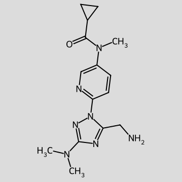 CN(C)c1nc(CN)n(-c2ccc(N(C)C(=O)C3CC3)cn2)n1